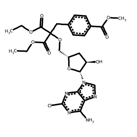 CCOC(=O)C(Cc1ccc(C(=O)OC)cc1)(OC[C@@H]1C[C@@H](O)[C@H](n2cnc3c(N)nc(Cl)nc32)O1)C(=O)OCC